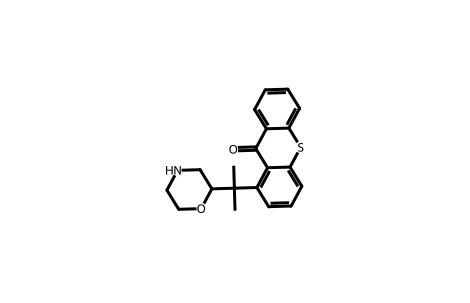 CC(C)(c1cccc2sc3ccccc3c(=O)c12)C1CNCCO1